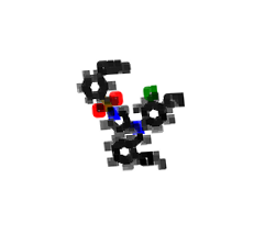 COc1cccc(S(=O)(=O)N2CC[C@H](N(Cc3ccccc3C)c3ccc(C#N)c(Cl)c3)C2)c1